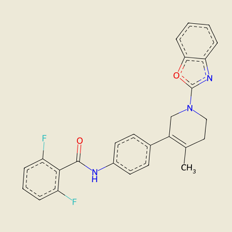 CC1=C(c2ccc(NC(=O)c3c(F)cccc3F)cc2)CN(c2nc3ccccc3o2)CC1